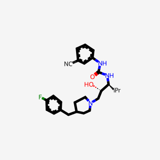 CC(C)[C@H](NC(=O)Nc1cccc(C#N)c1)[C@@H](O)CN1CCC(Cc2ccc(F)cc2)CC1